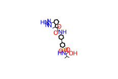 Cc1c(C(=O)Nc2ccc(-c3ccc(S(=O)(=O)N[C@H](C(=O)O)C(C)C)cc3)cc2)oc2cccc(-c3nn[nH]n3)c12